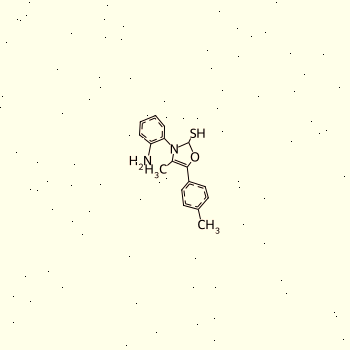 CC1=C(c2ccc(C)cc2)OC(S)N1c1ccccc1N